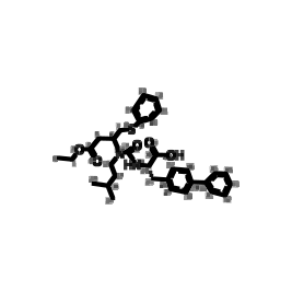 CCOC(=O)CC(CSc1ccccc1)N(CCC(C)C)C(=O)N[C@@H](Cc1ccc(-c2ccccc2)cc1)C(=O)O